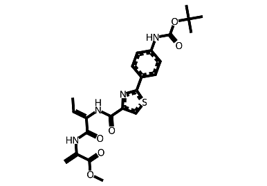 C=C(NC(=O)/C(=C/C)NC(=O)c1csc(-c2ccc(NC(=O)OC(C)(C)C)cc2)n1)C(=O)OC